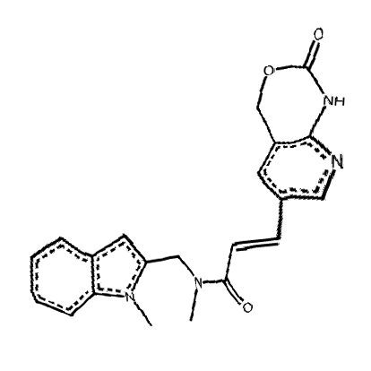 CN(Cc1cc2ccccc2n1C)C(=O)C=Cc1cnc2c(c1)COC(=O)N2